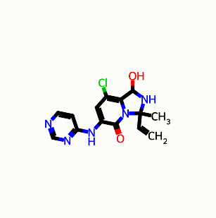 C=CC1(C)NC(O)c2c(Cl)cc(Nc3ccncn3)c(=O)n21